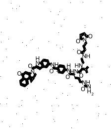 CC(C)[C@H](NCCNC(=O)CCCN1C(=O)C=CC1=O)C(=O)N[C@@H](CCCNC(N)=O)C(=O)Nc1ccc(C(=O)Nc2ccc3[nH]c(C(=O)N4CC5CC56C4=CC(=O)c4ccccc46)cc3c2)cc1